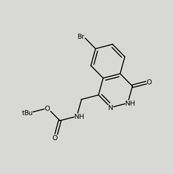 CC(C)(C)OC(=O)NCc1n[nH]c(=O)c2ccc(Br)cc12